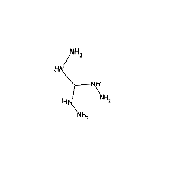 NNC(NN)NN